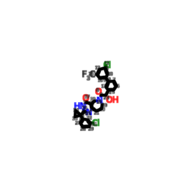 O=C([C@H](O)c1cccc(-c2cc(Cl)cc(C(F)(F)F)c2)c1)N1CCCc2nc(C3(c4cccc(Cl)c4)CC3)[nH]c(=O)c2C1